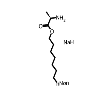 CCCCCCCCCCCCCCCCOC(=O)[C@@H](C)N.[NaH]